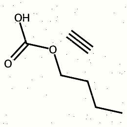 C#C.CCCCOC(=O)O